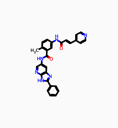 Cc1ccc(NC(=O)C=Cc2ccncc2)cc1C(=O)Nc1cnc2[nH]c(-c3ccccc3)nc2c1